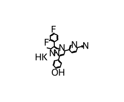 Cc1nn2c(-c3ccc(O)cc3)cc(-c3ccc(C#N)nc3)nc2c1-c1ccc(F)cc1F.[KH]